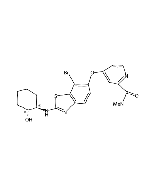 CNC(=O)c1cc(Oc2ccc3nc(N[C@@H]4CCCC[C@H]4O)sc3c2Br)ccn1